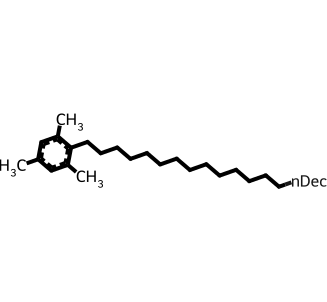 CCCCCCCCCCCCCCCCCCCCCCCCc1c(C)cc(C)cc1C